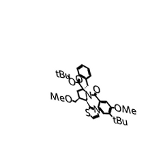 COC[C@H]1C[C@@](Cc2ccccc2)(C(=O)OC(C)(C)C)N(C(=O)c2ccc(C(C)(C)C)c(OC)c2)[C@H]1c1nccs1